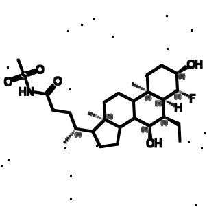 CC[C@@H]1[C@@H]2[C@@H](F)[C@H](O)CC[C@]2(C)C2CC[C@@]3(C)C(CCC3[C@H](C)CCC(=O)NS(C)(=O)=O)C2[C@@H]1O